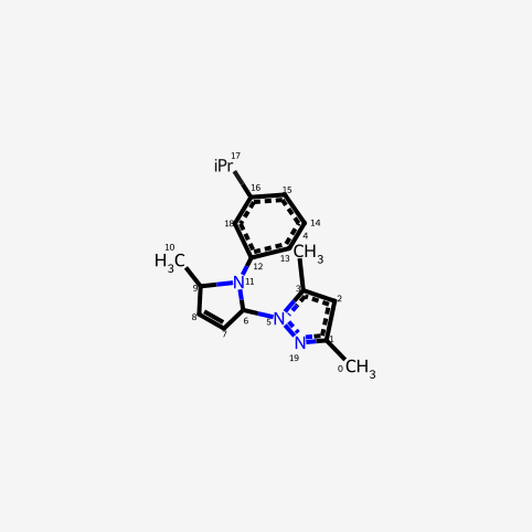 Cc1cc(C)n(C2C=CC(C)N2c2cccc(C(C)C)c2)n1